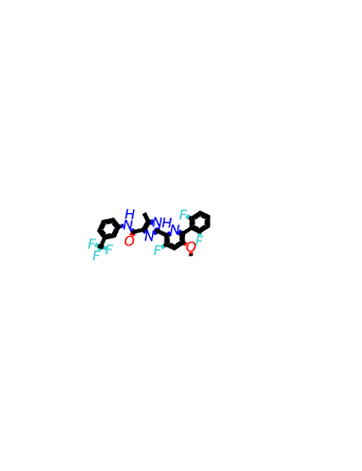 COc1cc(F)c(-c2nc(C(=O)Nc3cccc(C(F)(F)F)c3)c(C)[nH]2)nc1-c1c(F)cccc1F